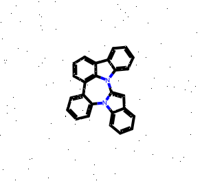 c1ccc2c(c1)cc1n2c2ccccc2c2cccc3c4ccccc4n1c23